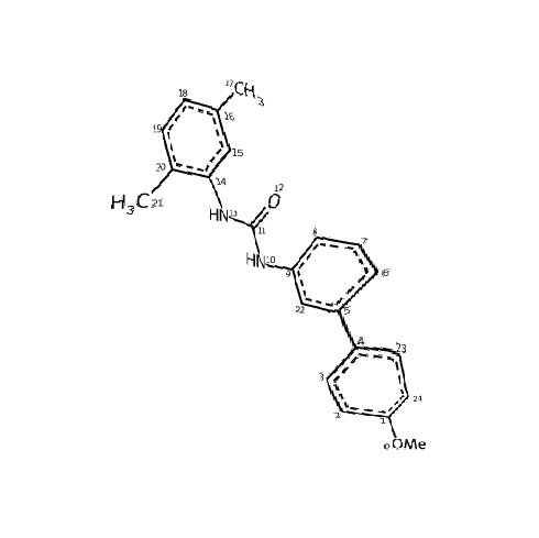 COc1ccc(-c2cccc(NC(=O)Nc3cc(C)ccc3C)c2)cc1